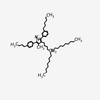 CCCCCCCC[CH2][Ni][CH2]CCCCCCCC.CCCCCCc1cccc(C2=C(CCCCC)C(C)=C(c3ccc(CCCC)cc3)[N+]2=[N-])c1